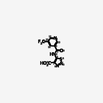 O=C(Nc1snnc1C(=O)O)c1cncc(C(F)(F)F)c1